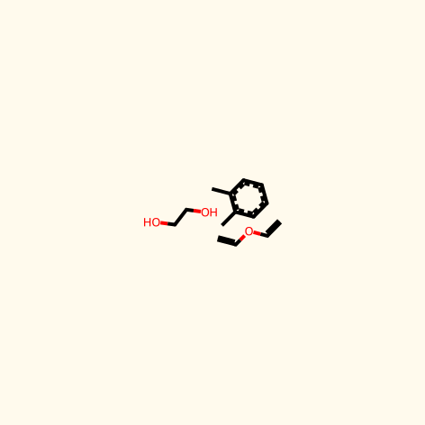 C=COC=C.Cc1ccccc1C.OCCO